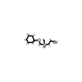 C[Si](C)(CCBr)COC1CCCCC1